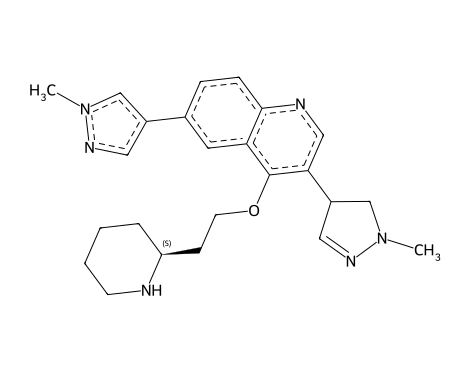 CN1CC(c2cnc3ccc(-c4cnn(C)c4)cc3c2OCC[C@@H]2CCCCN2)C=N1